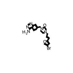 Nc1ncnc2cc(CN3CCN(CC=Cc4cc(Br)co4)CC3=O)ccc12